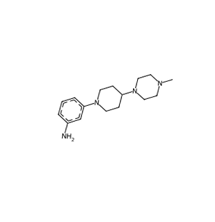 CN1CCN(C2CCN(c3cccc(N)c3)CC2)CC1